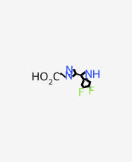 O=C(O)CCn1cc(-c2c[nH]c3cc(F)c(F)cc23)cn1